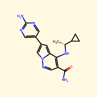 C[C@@H](Nc1c(C(N)=O)cnn2cc(-c3cnc(N)nc3)cc12)C1CC1